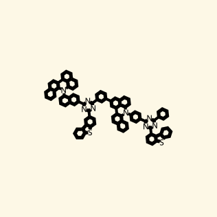 c1ccc(-c2nc(-c3ccc(N4c5c(ccc6ccccc56)-c5cc(-c6cccc(-c7nc(-c8ccc9c(N%10c%11c(ccc%12ccccc%11%12)-c%11cccc%12cccc%10c%11%12)cccc9c8)nc(-c8ccc9sc%10ccccc%10c9c8)n7)c6)cc6cccc4c56)cc3)nc(-c3cccc4sc5ccccc5c34)n2)cc1